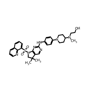 CN(CCO)C1CCN(c2ccc(Nc3ncc4c(n3)N(S(=O)(=O)c3cccc5cccnc35)CC4(C)C)cc2)CC1